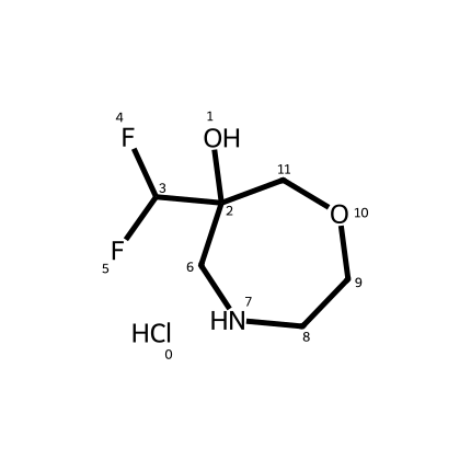 Cl.OC1(C(F)F)CNCCOC1